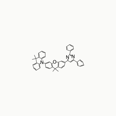 CC1(C)c2ccc(-c3cc(-c4ccccc4)nc(-c4ccccc4)n3)cc2Oc2cc(N3c4ccccc4C(C)(C)c4ccccc43)ccc21